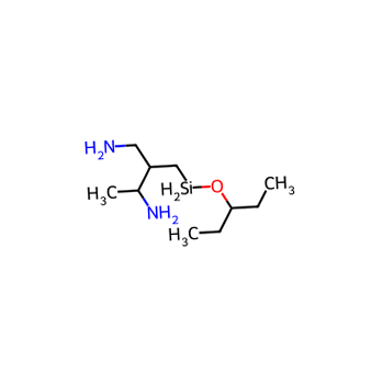 CCC(CC)O[SiH2]CC(CN)C(C)N